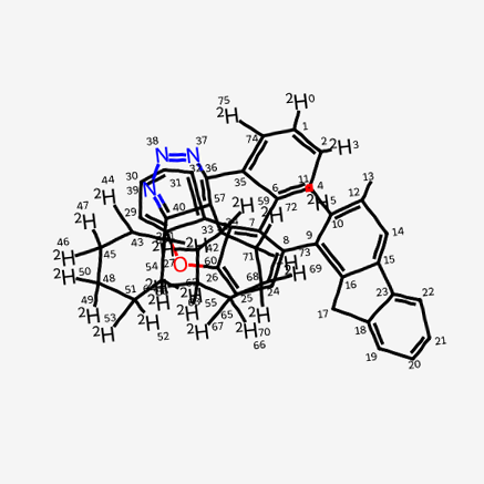 [2H]c1c([2H])c([2H])c(-c2c(-c3c(C)c(C)cc4c3Cc3ccccc3-4)ccc3oc4ccccc4c23)c(-c2nnnc(C3([2H])C([2H])C([2H])([2H])C([2H])([2H])C([2H])([2H])C3([2H])[2H])c2C2([2H])C([2H])C([2H])([2H])C([2H])([2H])C([2H])([2H])C2([2H])[2H])c1[2H]